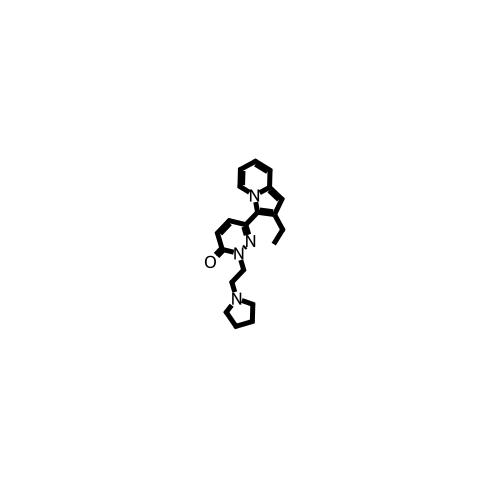 CCc1cc2ccccn2c1-c1ccc(=O)n(CCN2CCCC2)n1